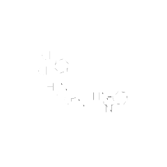 N[C@@H](CC(=O)N1CCCC(c2nc3ccccc3[nH]2)C1)Cc1ccc(Cl)c(Cl)c1